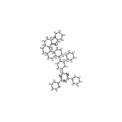 c1ccc(-c2nc(-c3ccccc3)nc(-c3cccc(-c4ccccc4-c4ccc5c(ccc6ccc7ccc8c9ccccc9oc8c7c65)c4)c3)n2)cc1